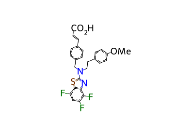 COc1ccc(CCN(Cc2ccc(/C=C/C(=O)O)cc2)c2nc3c(F)c(F)cc(F)c3s2)cc1